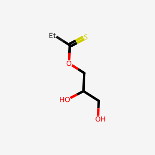 CCC(=S)OCC(O)CO